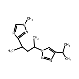 CC(C)c1cn(C(C)CC(C)c2ncn(C)n2)nn1